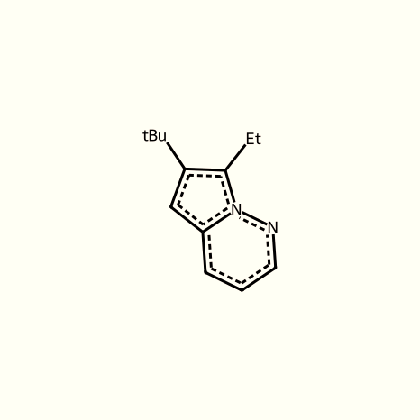 CCc1c(C(C)(C)C)cc2cccnn12